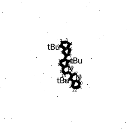 CC(C)(C)c1cccc2ccc(-c3ccc4ccc(-c5cnc6ccccc6c5C(C)(C)C)nc4c3C(C)(C)C)cc12